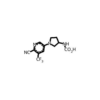 N#Cc1ncc(N2CCC(NC(=O)O)C2)cc1C(F)(F)F